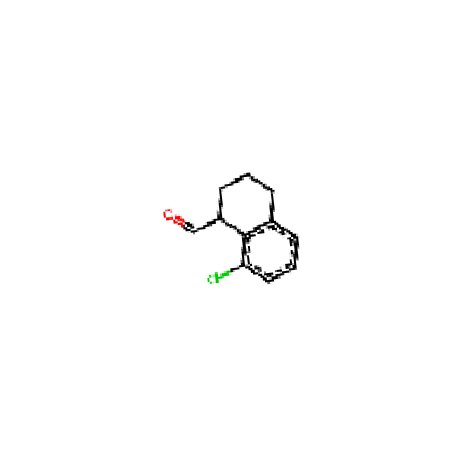 O=CC1CCCc2cccc(Cl)c21